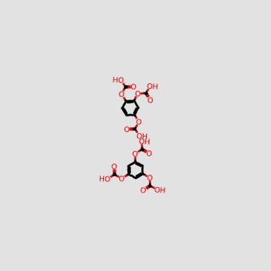 O=C(O)Oc1cc(OC(=O)O)cc(OC(=O)O)c1.O=C(O)Oc1ccc(OC(=O)O)c(OC(=O)O)c1